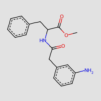 COC(=O)C(Cc1ccccc1)NC(=O)Cc1cccc(N)c1